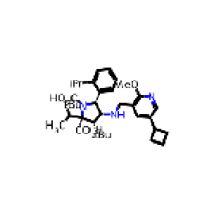 COc1ncc(C2CCC2)cc1CN[C@H]1[C@H](C(C)(C)C)[C@](C(=O)O)(C(C)C(C)(C)C)N(C(=O)O)[C@H]1c1ccccc1C(C)C